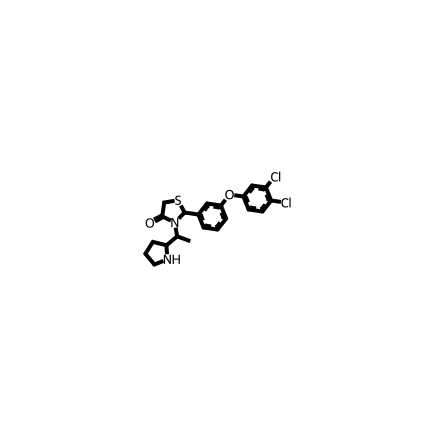 CC(C1CCCN1)N1C(=O)CSC1c1cccc(Oc2ccc(Cl)c(Cl)c2)c1